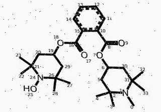 CN1C(C)(C)CC(OC(=O)c2ccccc2C(=O)OC2CC(C)(C)N(O)C(C)(C)C2)CC1(C)C